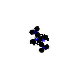 CC1(C)C(c2ccc(N(c3ccccc3)c3ccccc3)cc2)=C2C(=C(c3ccc(N(c4ccccc4)c4ccccc4)cc3)C(C)(C)/C2=N\c2ccccc2)/C1=N/c1ccccc1